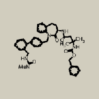 CNC(=O)NCc1ccccc1-c1ccc(CN2C(=O)[C@H](NC(=O)CC(C)(C)NC(=O)OCc3ccccc3)CCc3ccccc32)cc1